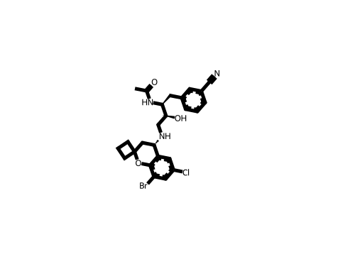 CC(=O)N[C@@H](Cc1cccc(C#N)c1)[C@@H](O)CN[C@H]1CC2(CCC2)Oc2c(Br)cc(Cl)cc21